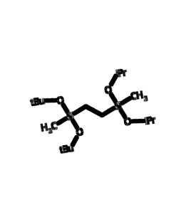 CC(C)O[Si](C)(CC[Si](C)(OC(C)(C)C)OC(C)(C)C)OC(C)C